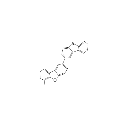 Cc1cccc2c1oc1ccc(-c3ccc4sc5ccccc5c4c3)cc12